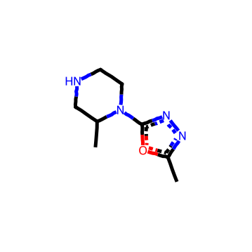 Cc1nnc(N2CCNCC2C)o1